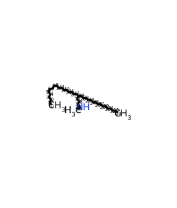 CCCCC/C=C\C/C=C\CCCCCCCCC(CCCCCCC/C=C/C=C/CCCCC)CCCNC